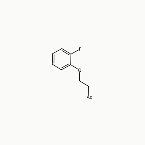 CC(=O)CCOc1ccccc1F